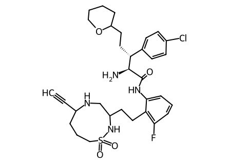 C#CC1CCCS(=O)(=O)NC(CCc2c(F)cccc2NC(=O)[C@@H](N)[C@H](CCC2CCCCO2)c2ccc(Cl)cc2)CN1